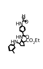 CCOC(=O)C1=C(NC(=O)c2ccc(N[SH](=O)=O)cc2)C(Nc2cccc(C)c2)CC1